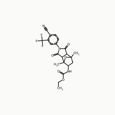 CCOC(=O)NC1CC2(C)OC1(C)C1C(=O)N(c3ccc(C#N)c(C(F)(F)F)c3)C(=O)C12